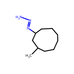 CC1CCCCCCC(N=NN)C1